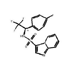 O=S(=O)(N[C@H](c1ccc(F)cc1)C(F)(F)F)c1cnc2ccccn12